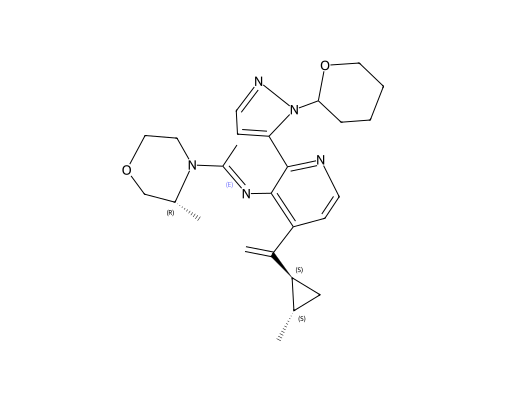 C=C(c1ccnc(-c2ccnn2C2CCCCO2)c1/N=C(\C)N1CCOC[C@H]1C)[C@H]1C[C@@H]1C